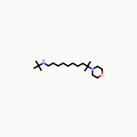 CC(C)(C)NCCCCCCCCC(C)(C)N1CCOCC1